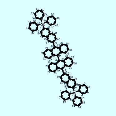 c1ccc([Si](c2ccccc2)(c2ccccc2)c2ccc3cc(-c4c5ccccc5c(-c5c6ccccc6c(-c6ccc7cc([Si](c8ccccc8)(c8ccccc8)c8ccccc8)ccc7c6)c6ccccc56)c5ccccc45)ccc3c2)cc1